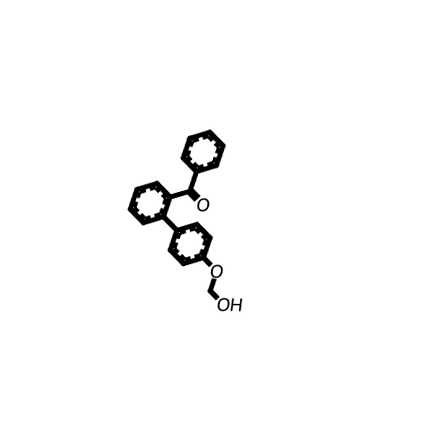 O=C(c1ccccc1)c1ccccc1-c1ccc(OCO)cc1